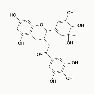 CC1(O)C=C(C2Oc3cc(O)cc(O)c3CC2CC(=O)c2cc(O)c(O)c(O)c2)C=C(O)C1O